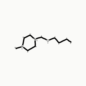 CCCCOCN1CCN(C)CC1